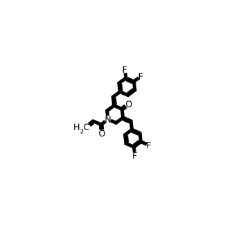 C=CC(=O)N1C/C(=C/c2ccc(F)c(F)c2)C(=O)/C(=C/c2ccc(F)c(F)c2)C1